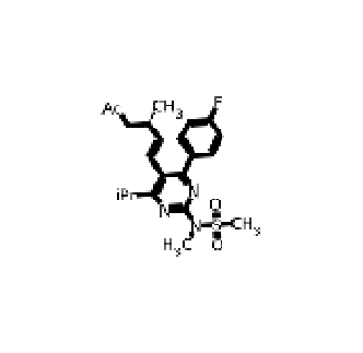 CC(=O)C[C@H](C)/C=C/c1c(-c2ccc(F)cc2)nc(N(C)S(C)(=O)=O)nc1C(C)C